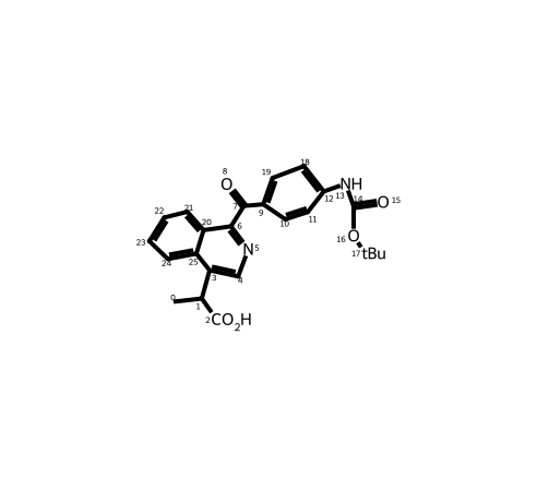 CC(C(=O)O)c1cnc(C(=O)c2ccc(NC(=O)OC(C)(C)C)cc2)c2ccccc12